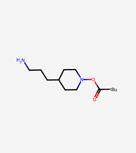 CC(C)(C)C(=O)ON1CCC(CCCN)CC1